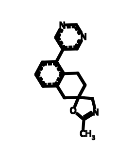 CC1=NCC2(CCc3c(cccc3-c3cncnc3)C2)O1